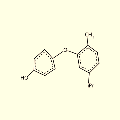 Cc1ccc(C(C)C)cc1Oc1ccc(O)cc1